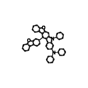 c1ccc(N(c2ccccc2)c2ccc3c4c(-c5ccc6c(c5)oc5ccccc56)c5c(cc4n(-c4ccccc4)c3c2)oc2ccccc25)cc1